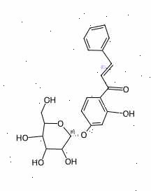 O=C(/C=C/c1ccccc1)c1ccc(O[C@H]2OC(CO)C(O)C(O)C2O)cc1O